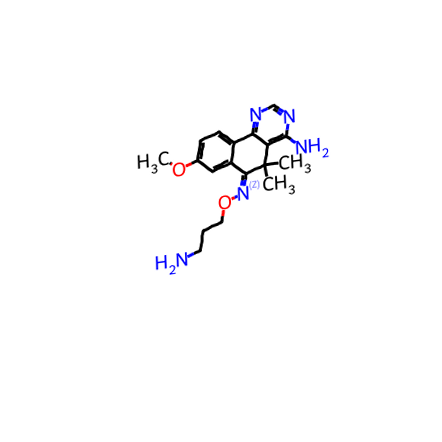 COc1ccc2c(c1)/C(=N\OCCCN)C(C)(C)c1c(N)ncnc1-2